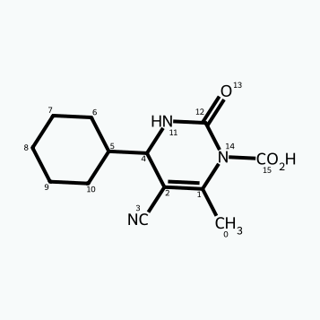 CC1=C(C#N)C(C2CCCCC2)NC(=O)N1C(=O)O